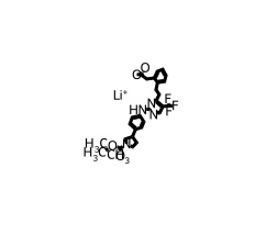 CC(C)(C)OC(=O)N1CCC(c2ccc(Nc3ncc(C(F)(F)F)c(CCc4ccccc4CC(=O)[O-])n3)cc2)C1.[Li+]